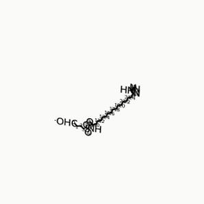 O=[C]CCCS(=O)(=O)NC(=O)CCCCCCCCCCCCCCCc1nnn[nH]1